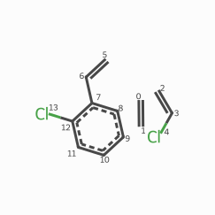 C=C.C=CCl.C=Cc1ccccc1Cl